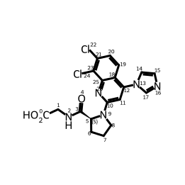 O=C(O)CNC(=O)[C@@H]1CCCN1c1cc(-n2ccnc2)c2ccc(Cl)c(Cl)c2n1